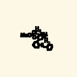 COC(=O)OC1=C(C)NC(C)=CC1c1ccccc1SCc1ccccc1